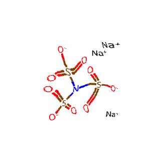 O=S(=O)([O-])N(S(=O)(=O)[O-])S(=O)(=O)[O-].[Na+].[Na+].[Na+]